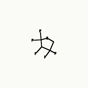 FC1C(F)(F)CSC1(F)F